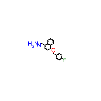 NN=Cc1ccc(OCc2ccc(F)cc2)c2ccccc12